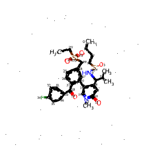 CCCC[S@+]([O-])NC(c1cc(=O)n(C)cc1-c1cc(CS(=O)(=O)CC)ccc1C(=O)c1ccc(F)cc1)C(C)C